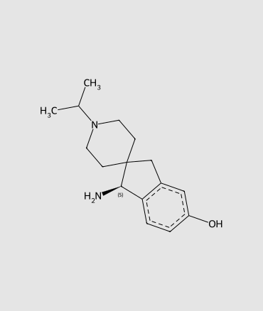 CC(C)N1CCC2(CC1)Cc1cc(O)ccc1[C@H]2N